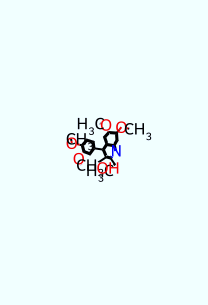 CCc1nc2cc(OC)c(OC)cc2c(-c2ccc(OC)c(OC)c2)c1CO